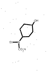 CCN(C(=O)O)C1CCC(O)CC1